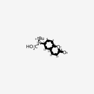 CC(C)(C)N(C(=O)O)c1ccc2oc(=O)ccc2c1